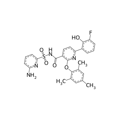 Cc1cc(C)c(Oc2nc(-c3cccc(F)c3O)ccc2C(=O)NS(=O)(=O)c2cccc(N)n2)c(C)c1